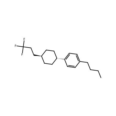 CCCCc1ccc([C@H]2CC[C@H](CCC(F)(F)F)CC2)cc1